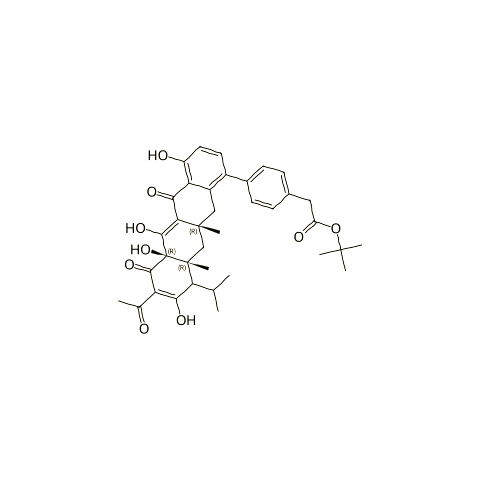 CC(=O)C1=C(O)C(C(C)C)[C@@]2(C)C[C@@]3(C)Cc4c(-c5ccc(CC(=O)OC(C)(C)C)cc5)ccc(O)c4C(=O)C3=C(O)[C@@]2(O)C1=O